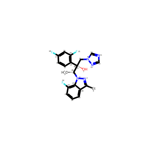 CCc1nn([C@H](C)[C@](O)(Cn2cncn2)c2ccc(F)cc2F)c2c(F)cccc12